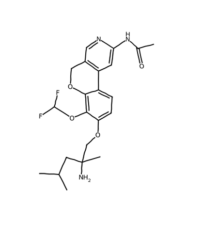 CC(=O)Nc1cc2c(cn1)COc1c-2ccc(OCC(C)(N)CC(C)C)c1OC(F)F